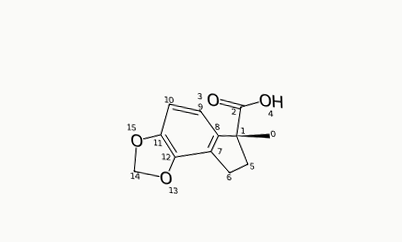 C[C@@]1(C(=O)O)CCc2c1ccc1c2OCO1